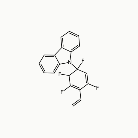 C=CC1=C(F)C(F)C(F)(n2c3ccccc3c3ccccc32)C=C1F